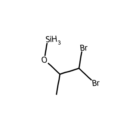 CC(O[SiH3])C(Br)Br